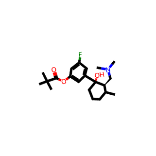 CC1CCC[C@](O)(c2cc(F)cc(OC(=O)C(C)(C)C)c2)[C@H]1CN(C)C